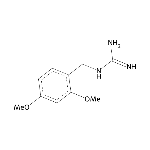 COc1ccc(CNC(=N)N)c(OC)c1